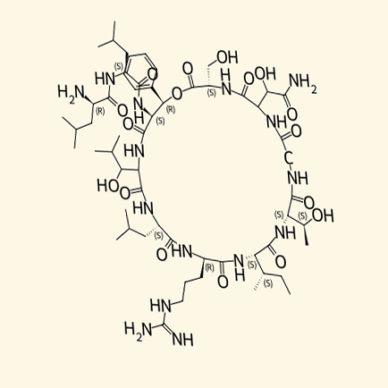 CC[C@H](C)[C@@H]1NC(=O)[C@@H](CCCNC(=N)N)NC(=O)[C@H](CC(C)C)NC(=O)C(C(O)C(C)C)NC(=O)[C@@H](NC(=O)[C@H](CC(C)C)NC(=O)[C@H](N)CC(C)C)[C@@H](c2ccccc2)OC(=O)[C@H](CO)NC(=O)C(C(O)C(N)=O)NC(=O)CNC(=O)[C@H]([C@H](C)O)NC1=O